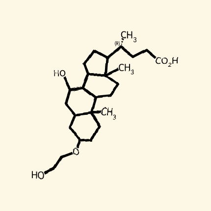 C[C@H](CCC(=O)O)C1CCC2C3C(O)CC4CC(OCCO)CCC4(C)C3CCC21C